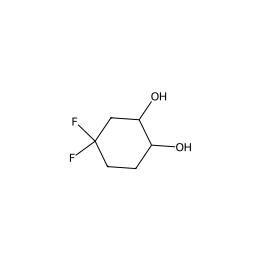 OC1CCC(F)(F)CC1O